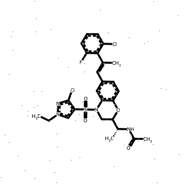 CCn1cc(S(=O)(=O)N2CC([C@@H](C)NC(C)=O)Oc3ccc(C=C(C)c4c(F)cccc4Cl)cc32)c(Cl)n1